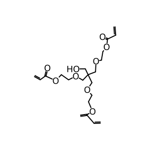 C=CC(=C)OCCOCC(CO)(COCCOC(=O)C=C)COCCOC(=O)C=C